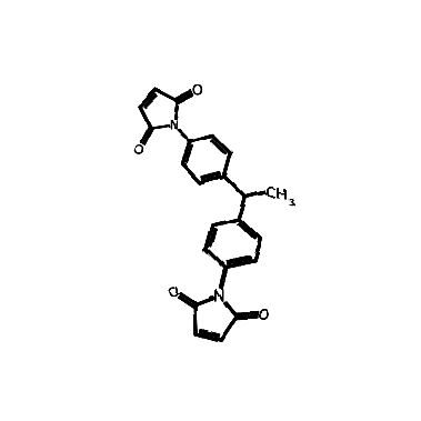 CC(c1ccc(N2C(=O)C=CC2=O)cc1)c1ccc(N2C(=O)C=CC2=O)cc1